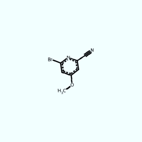 COc1cc(Br)nc(C#N)c1